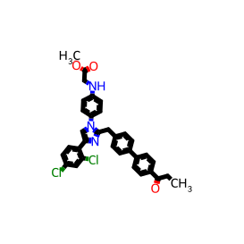 CCC(=O)c1ccc(-c2ccc(Cc3nc(-c4ccc(Cl)cc4Cl)cn3-c3ccc(NCC(=O)OC)cc3)cc2)cc1